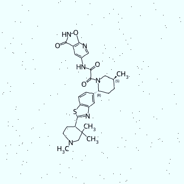 C[C@H]1CC[C@H](c2ccc3sc(C4CCN(C)CC4(C)C)nc3c2)N(C(=O)C(=O)Nc2cnc3o[nH]c(=O)c3c2)C1